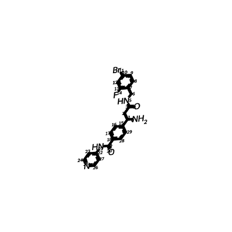 NC(CC(=O)NCc1ccc(Br)cc1F)c1ccc(C(=O)Nc2ccncc2)cc1